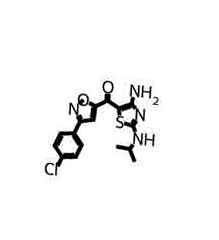 CC(C)Nc1nc(N)c(C(=O)c2cc(-c3ccc(Cl)cc3)no2)s1